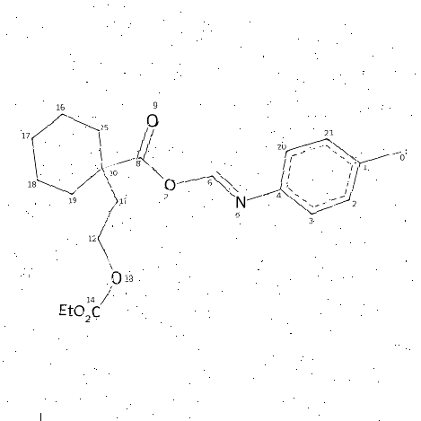 [CH]c1ccc(N=COC(=O)C2(CCOC(=O)OCC)CCCCC2)cc1